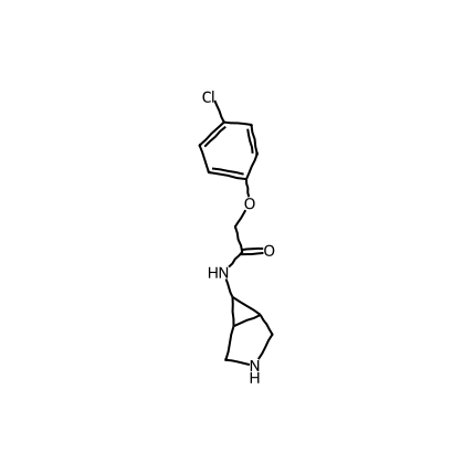 O=C(COc1ccc(Cl)cc1)NC1C2CNCC21